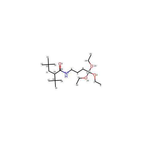 CCO[Si](CCCNC(=O)C(CC(C)(C)C)C(C)(C)C)(OCC)OCC